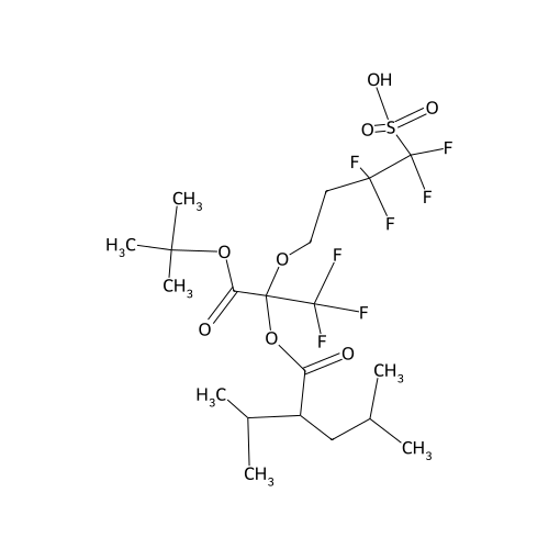 CC(C)CC(C(=O)OC(OCCC(F)(F)C(F)(F)S(=O)(=O)O)(C(=O)OC(C)(C)C)C(F)(F)F)C(C)C